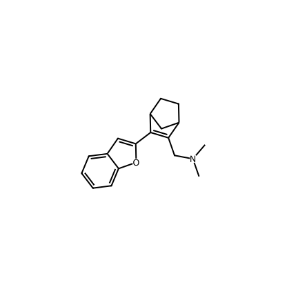 CN(C)CC1=C(c2cc3ccccc3o2)C2CCC1C2